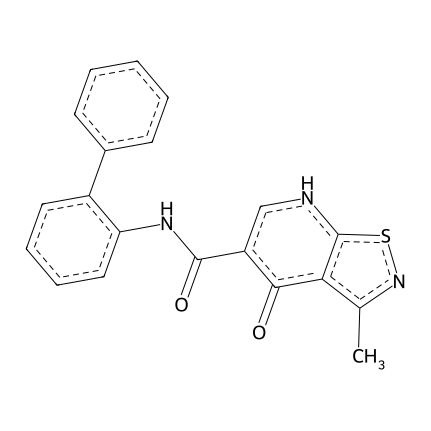 Cc1nsc2[nH]cc(C(=O)Nc3ccccc3-c3ccccc3)c(=O)c12